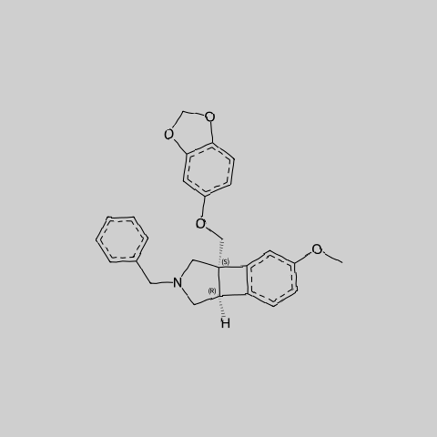 COc1ccc2c(c1)[C@]1(COc3ccc4c(c3)OCO4)CN(Cc3ccccc3)C[C@H]21